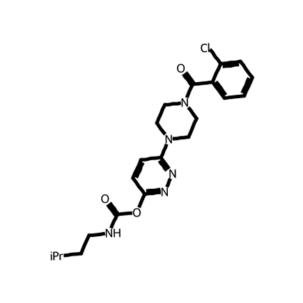 CC(C)CCNC(=O)Oc1ccc(N2CCN(C(=O)c3ccccc3Cl)CC2)nn1